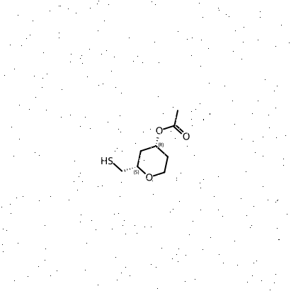 CC(=O)O[C@@H]1CCO[C@H](CS)C1